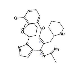 CC(=N)/N=C(\C(=C\C(=O)c1cccc(Cl)c1Cl)CC1CCCCN1)c1ccnn1C1CCCCO1